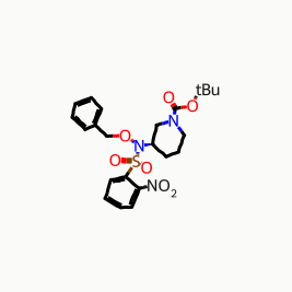 CC(C)(C)OC(=O)N1CCC[C@@H](N(OCc2ccccc2)S(=O)(=O)c2ccccc2[N+](=O)[O-])C1